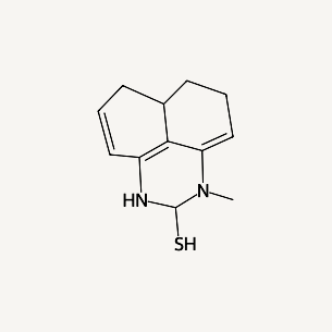 CN1C2=CCCC3CC=CC(=C23)NC1S